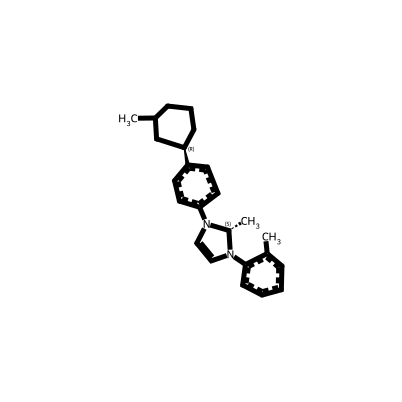 Cc1ccccc1N1C=CN(c2ccc([C@@H]3CCCC(C)C3)cc2)[C@@H]1C